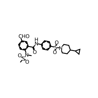 CN(c1ccc(C=O)cc1C(=O)Nc1ccc(S(=O)(=O)N2CCC(C3CC3)CC2)cc1)S(C)(=O)=O